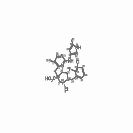 CC[C@@H]1C[C@](Cc2nc(Nc3cc(C)[nH]n3)nnc2F)(C(=O)O)CCN1Cc1cccc(Cl)c1F